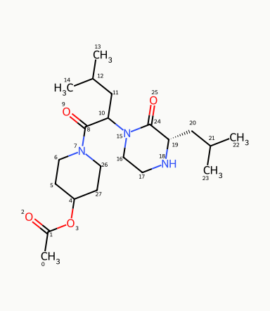 CC(=O)OC1CCN(C(=O)C(CC(C)C)N2CCN[C@@H](CC(C)C)C2=O)CC1